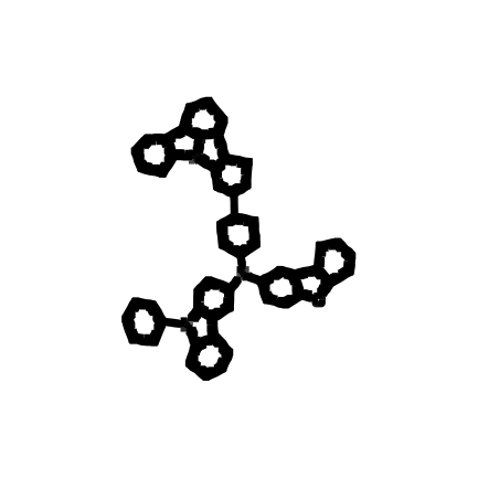 c1ccc(-n2c3ccccc3c3cc(N(c4ccc(-c5ccc6c7cccc8c9ccccc9n(c6c5)c87)cc4)c4ccc5oc6ccccc6c5c4)ccc32)cc1